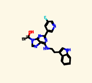 CC[C@@H](O)n1cnc2c(NCCc3c[nH]c4ccccc34)nc(-c3cncc(F)c3)nc21